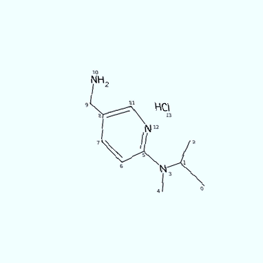 CC(C)N(C)c1ccc(CN)cn1.Cl